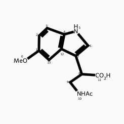 COc1ccc2[nH]cc(C(CNC(C)=O)C(=O)O)c2c1